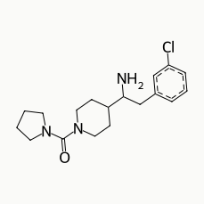 NC(Cc1cccc(Cl)c1)C1CCN(C(=O)N2CCCC2)CC1